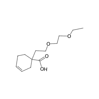 CCOCCOCCC1(C(=O)O)CC=CCC1